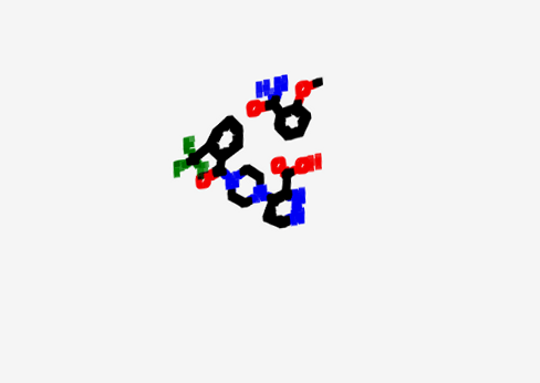 COc1ccccc1C(N)=O.O=C(O)c1nnccc1N1CCN(C(=O)c2ccccc2C(F)(F)F)CC1